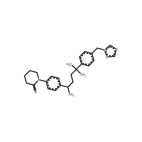 CC(CCC(C)(C)c1ccc(Cn2cncn2)cc1)c1ccc(N2CCCCC2=O)cc1